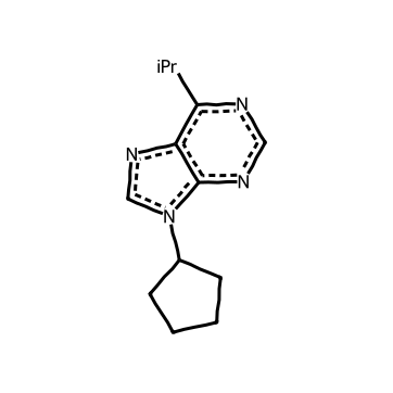 CC(C)c1ncnc2c1ncn2C1CCCC1